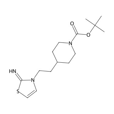 CC(C)(C)OC(=O)N1CCC(CCn2ccsc2=N)CC1